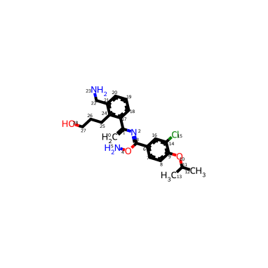 C=C(/N=C(\ON)c1ccc(OC(C)C)c(Cl)c1)c1cccc(CN)c1CCCO